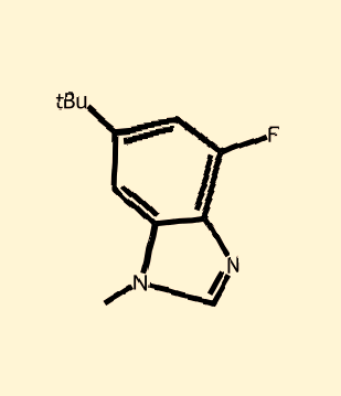 Cn1cnc2c(F)cc(C(C)(C)C)cc21